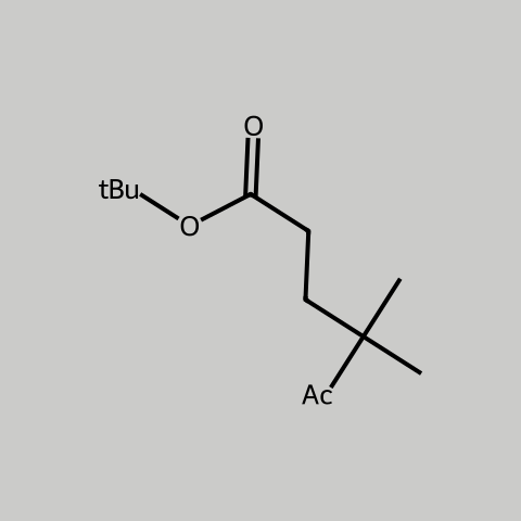 CC(=O)C(C)(C)CCC(=O)OC(C)(C)C